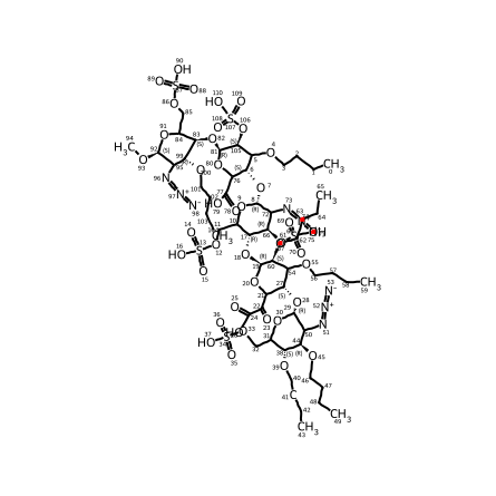 CCCCOC1[C@H](O[C@H]2OC(COS(=O)(=O)O)[C@@H](O[C@@H]3OC(C(=O)C(=O)O)[C@@H](O[C@H]4OC(COS(=O)(=O)O)[C@@H](OCCCC)[C@H](OCCCC)C4N=[N+]=[N-])C(OCCCC)[C@@H]3OCCCC)[C@H](OS(=O)(=O)O)C2N=[N+]=[N-])C(C(=O)O)O[C@@H](O[C@@H]2C(COS(=O)(=O)O)O[C@H](OC)C(N=[N+]=[N-])[C@H]2OCCCC)[C@H]1OS(=O)(=O)O